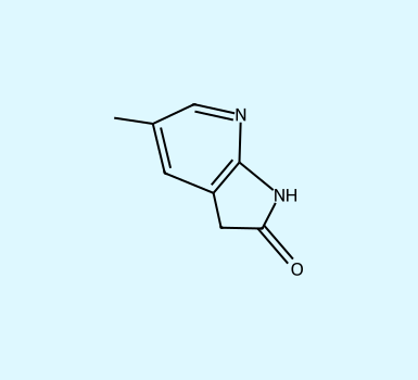 Cc1cnc2c(c1)CC(=O)N2